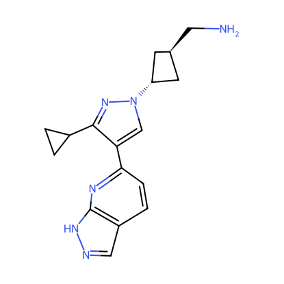 NC[C@H]1C[C@H](n2cc(-c3ccc4cn[nH]c4n3)c(C3CC3)n2)C1